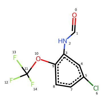 O=CNc1cc(Cl)ccc1OC(F)(F)F